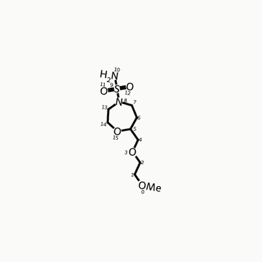 COCCOCC1CCN(S(N)(=O)=O)CCO1